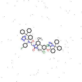 Cc1cc(-c2cc(Cl)c(OCc3nncn3C(c3ccccc3)(c3ccccc3)c3ccccc3)c(Cl)c2)c2c(c1)n(CC(=O)N(Cc1nncn1C(c1ccccc1)(c1ccccc1)c1ccccc1)c1ccc(F)cc1)c(=O)n2C